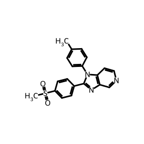 Cc1ccc(-n2c(-c3ccc(S(C)(=O)=O)cc3)nc3cnccc32)cc1